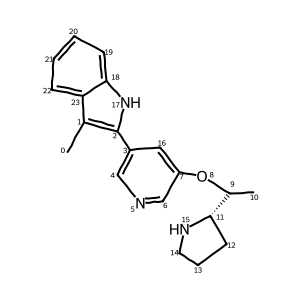 Cc1c(-c2cncc(OC(C)[C@@H]3CCCN3)c2)[nH]c2ccccc12